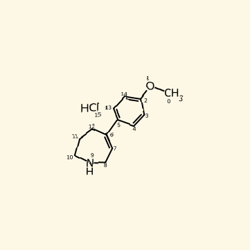 COc1ccc(C2=CCNCCC2)cc1.Cl